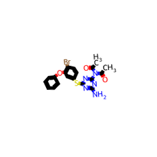 CC(=O)N(C(C)=O)c1nc(N)nc(Sc2ccc(Br)c(Oc3ccccc3)c2)n1